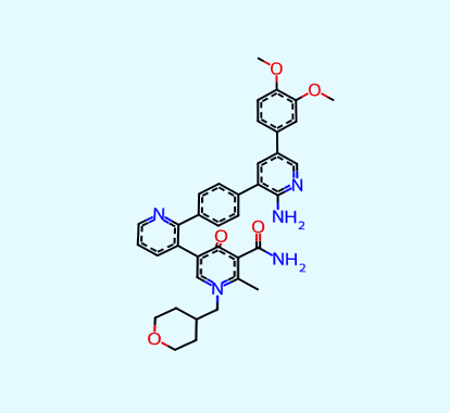 COc1ccc(-c2cnc(N)c(-c3ccc(-c4ncccc4-c4cn(CC5CCOCC5)c(C)c(C(N)=O)c4=O)cc3)c2)cc1OC